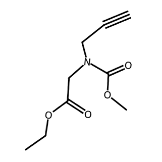 C#CCN(CC(=O)OCC)C(=O)OC